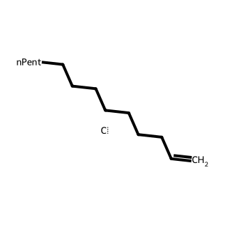 C=CCCCCCCCCCCCC.[C]